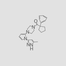 Cc1cc(-n2cccc2N2CCN(C(=O)C3(c4ccccc4)CCCC3)CC2)n[nH]1